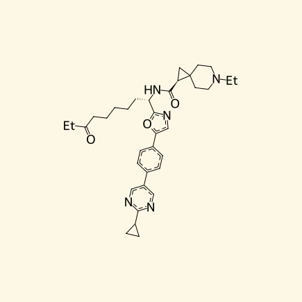 CCC(=O)CCCCC[C@H](NC(=O)[C@H]1CC12CCN(CC)CC2)c1ncc(-c2ccc(-c3cnc(C4CC4)nc3)cc2)o1